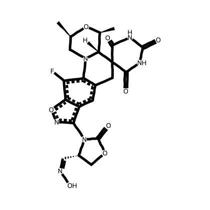 C[C@@H]1CN2c3c(cc4c(N5C(=O)OC[C@@H]5/C=N\O)noc4c3F)CC3(C(=O)NC(=O)NC3=O)[C@H]2[C@H](C)O1